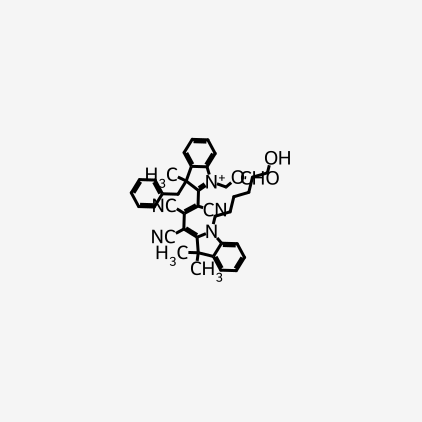 CC1(Cc2ccccc2)C(/C(C#N)=C(C#N)/C(C#N)=C2\N(CCCCCCO)c3ccccc3C2(C)C)=[N+](COC=O)c2ccccc21